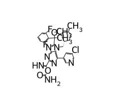 COC(C)(c1c(F)cccc1F)c1nc2nc(C(=N)OC(N)=O)nc(-c3cncc(Cl)c3)c2n1C[C@H]1CC[C@H](C)CC1